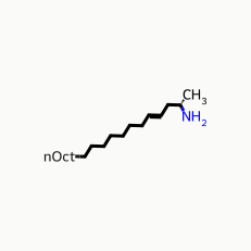 CCCCCCCCCCCCCCC/C=C/C[C@H](C)N